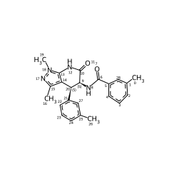 Cc1cccc(C(=O)N[C@@H]2C(=O)Nc3c(c(C)nn3C)[C@@H]2c2cccc(C)c2)c1